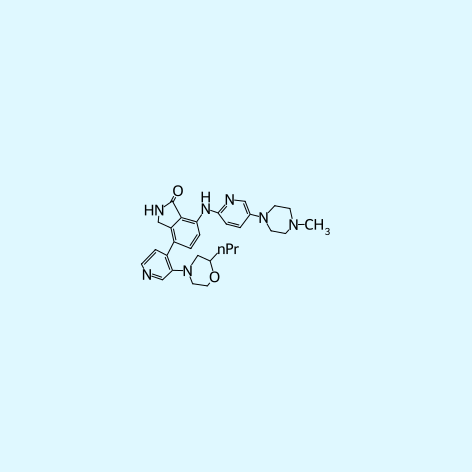 CCCC1CN(c2cnccc2-c2ccc(Nc3ccc(N4CCN(C)CC4)cn3)c3c2CNC3=O)CCO1